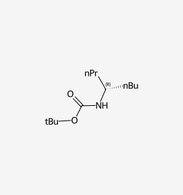 CCCC[C@@H](CCC)NC(=O)OC(C)(C)C